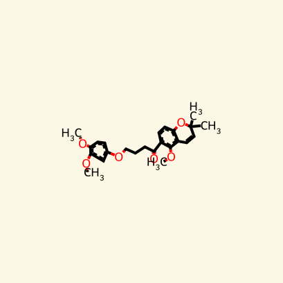 COc1ccc(OCCCC(=O)c2ccc3c(c2OC)C=CC(C)(C)O3)cc1OC